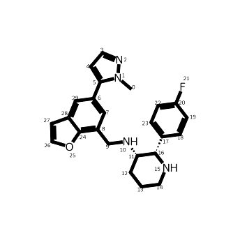 Cn1nccc1-c1cc(CN[C@H]2CCCN[C@H]2c2ccc(F)cc2)c2occc2c1